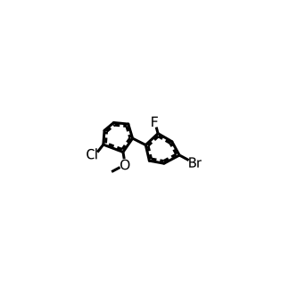 COc1c(Cl)cccc1-c1ccc(Br)cc1F